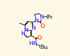 Cc1cc(N2CCN(C(C)C)C2=O)nc2c(C(=O)NC(C)(C)C)cnn12